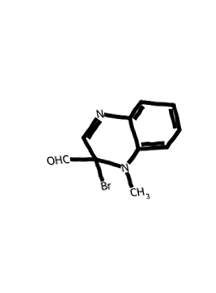 CN1c2ccccc2N=CC1(Br)C=O